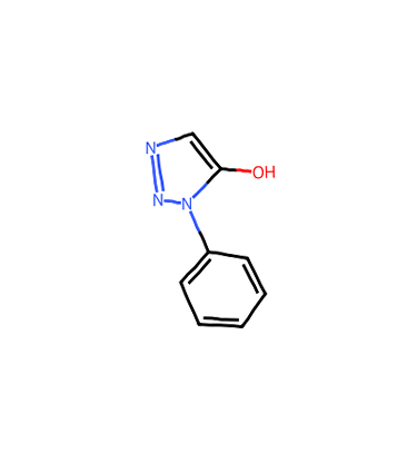 Oc1cnnn1-c1ccccc1